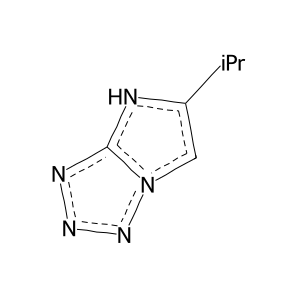 CC(C)c1cn2nnnc2[nH]1